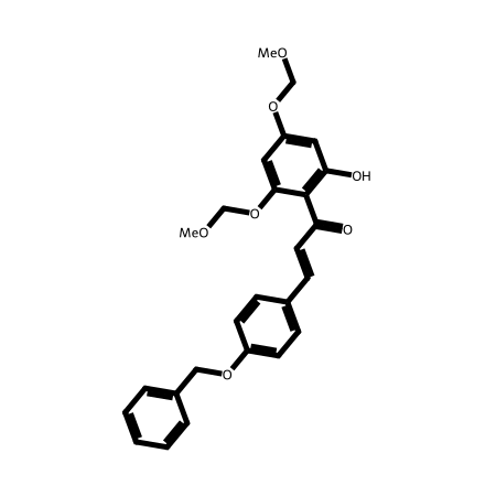 COCOc1cc(O)c(C(=O)/C=C/c2ccc(OCc3ccccc3)cc2)c(OCOC)c1